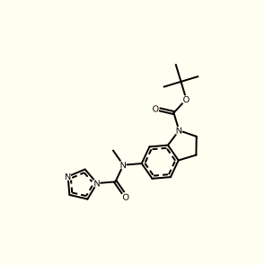 CN(C(=O)n1ccnc1)c1ccc2c(c1)N(C(=O)OC(C)(C)C)CC2